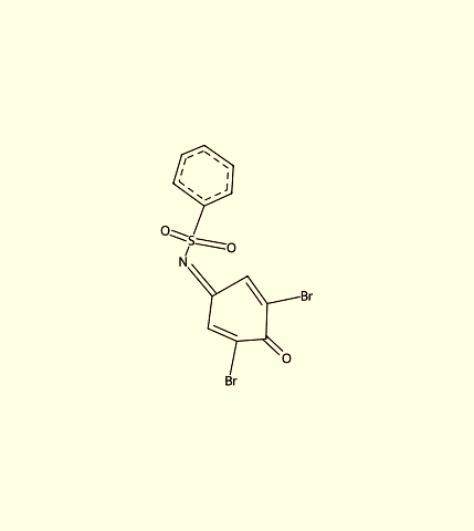 O=C1C(Br)=CC(=NS(=O)(=O)c2ccccc2)C=C1Br